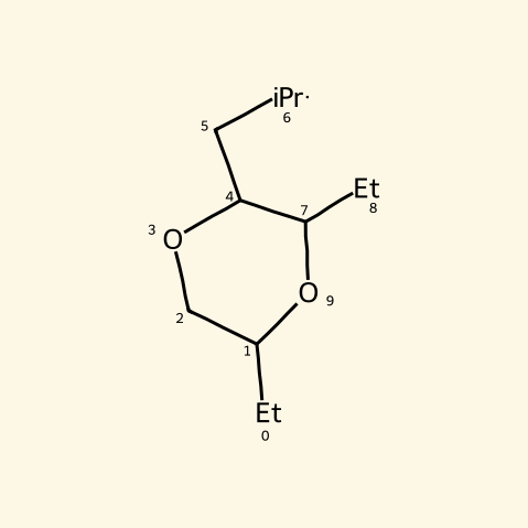 CCC1COC(C[C](C)C)C(CC)O1